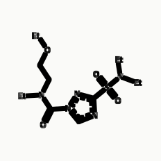 CCOCCN(CC)C(=O)n1cnc(S(=O)(=O)N(CC)CC)n1